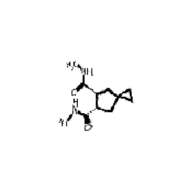 [2H]NC(=O)[C@H]1CC2(CC2)C[C@@H]1C(=O)NC